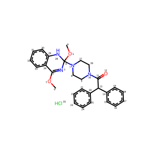 COC1=NC(OC)(N2CCN(C(=O)C(c3ccccc3)c3ccccc3)CC2)Nc2ccccc21.Cl